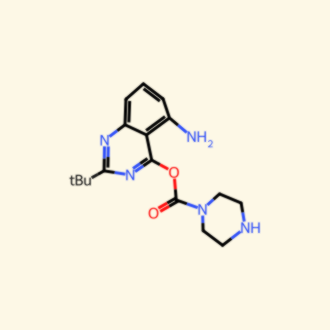 CC(C)(C)c1nc(OC(=O)N2CCNCC2)c2c(N)cccc2n1